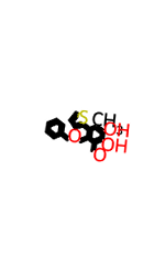 Cc1c(O)c(O)c(C=O)c(COCc2ccccc2)c1-c1cccs1